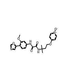 COc1cc(NC(=O)C(=O)NC(C)(C)CCOc2cc[n+]([O-])cc2)ccc1-c1cnco1